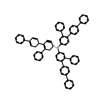 C1#C[C@H](N(c2ccc(-c3ccc(-c4ccccc4)cc3)c(-c3ccccc3)c2)c2ccc(-c3ccc(-c4ccccc4)cc3)c(-c3ccccc3)c2)CC(c2ccccc2)=C1C1C=CC(c2ccccc2)=CC1